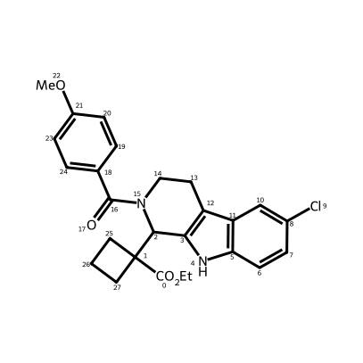 CCOC(=O)C1(C2c3[nH]c4ccc(Cl)cc4c3CCN2C(=O)c2ccc(OC)cc2)CCC1